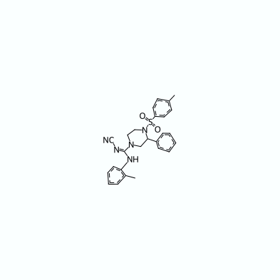 Cc1ccc(S(=O)(=O)N2CCN(/C(=N\C#N)Nc3ccccc3C)CC2c2ccccc2)cc1